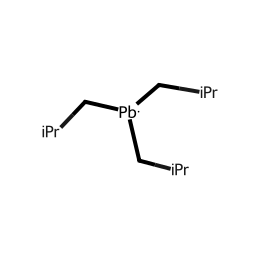 CC(C)[CH2][Pb]([CH2]C(C)C)[CH2]C(C)C